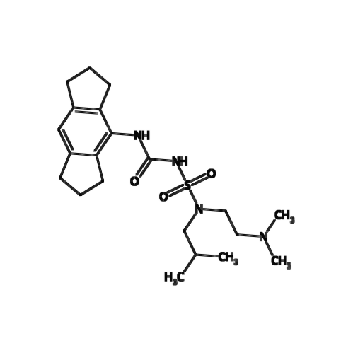 CC(C)CN(CCN(C)C)S(=O)(=O)NC(=O)Nc1c2c(cc3c1CCC3)CCC2